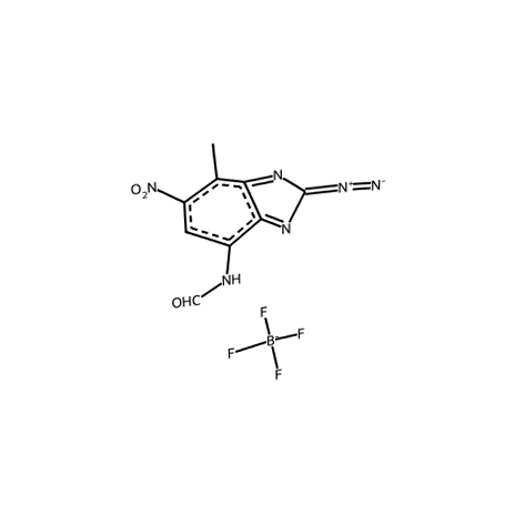 Cc1c([N+](=O)[O-])cc(NC=O)c2c1=NC(=[N+]=[N-])N=2.F[B-](F)(F)F